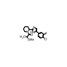 CSC(C)C(=O)N1CCCCC1c1ncc(-c2ccc(Cl)c(F)c2)[nH]1